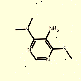 CSc1ncnc(N(C)C)c1N